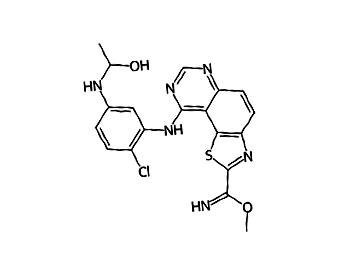 COC(=N)c1nc2ccc3ncnc(Nc4cc(NC(C)O)ccc4Cl)c3c2s1